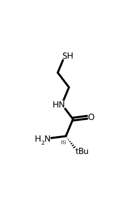 CC(C)(C)[C@H](N)C(=O)NCCS